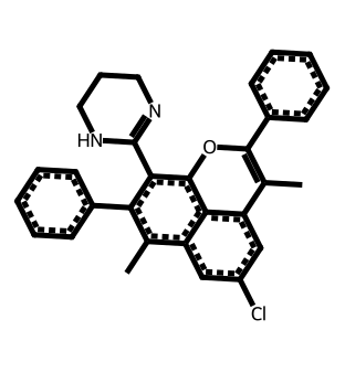 CC1=C(c2ccccc2)Oc2c(C3=NCCCN3)c(-c3ccccc3)c(C)c3cc(Cl)cc1c23